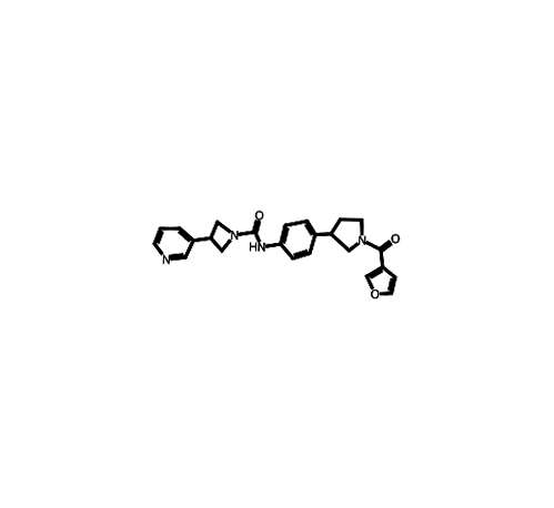 O=C(Nc1ccc(C2CCN(C(=O)c3ccoc3)C2)cc1)N1CC(c2cccnc2)C1